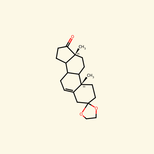 C[C@@]12CCC3C(CC=C4CC5(CC[C@]43C)OCCO5)C1CCC2=O